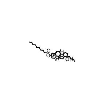 CCCCCCCCCC(=O)O[C@@H]1CC2=C[C@@H](C)[C@@H]3[C@H](CC[C@@]4(C)[C@H]3CC[C@@]4(O)CCCC)[C@@]2(C=O)[C@@H](C)C1